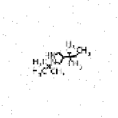 CCC(C)(C)C1CNN(C(C)(C)C)C1